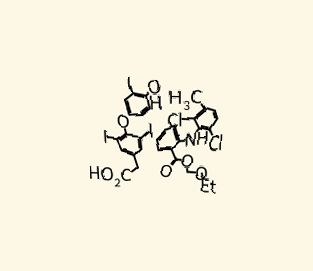 CCOCOC(=O)c1ccccc1Nc1c(Cl)ccc(C)c1Cl.O=C(O)Cc1cc(I)c(Oc2ccc(O)c(I)c2)c(I)c1